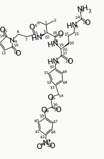 CC(C)[C@H](NC(=O)CCN1C(=O)C=CC1=O)C(=O)N[C@@H](CCCNC(N)=O)C(=O)Nc1ccc(COC(=O)Oc2ccc([N+](=O)[O-])cc2)cc1